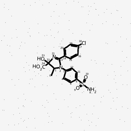 CC1N(c2ccc(S(N)(=O)=O)cc2)C(c2ccc(Cl)cc2)=NC1(O)C(=O)O